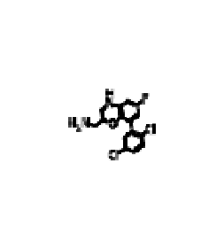 NCC1CNc2cc(F)cc(-c3cc(Cl)ccc3Cl)c2O1